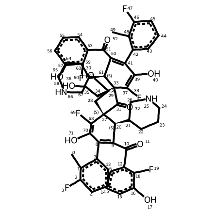 Cc1c(F)cccc1C1=C(C(=O)c2cccc(O)c2F)[C@H](C2CCCNC2)[C@@](CCO)(C(=O)[C@@]2(CCO)C(F)=C(O)C(c3cccc(F)c3C)=C(C(=O)c3cccc(O)c3F)[C@@H]2C2CCCNC2)C(F)=C1O